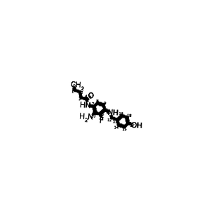 C=CCCC(=O)Nc1ccc(NCc2ccc(O)cc2)c(F)c1N